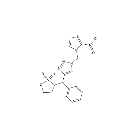 O=[N+]([O-])c1nccn1Cn1cc(C(c2ccccc2)C2CCOS2(=O)=O)nn1